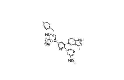 Cc1n[nH]c2ccc(-c3cc(OC[C@H](Cc4ccccc4)NC(=O)OC(C)(C)C)cnc3-c3cccc([N+](=O)[O-])c3)cc12